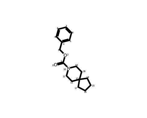 O=C(OCc1ccccc1)N1CCC2(CCCC2)CC1